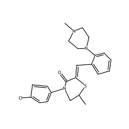 CC1CN(c2ccc(Cl)cc2)C(=O)C(=Cc2ccccc2N2CCN(C)CC2)S1